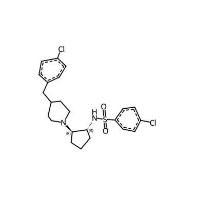 O=S(=O)(N[C@@H]1CCC[C@H]1N1CCC(Cc2ccc(Cl)cc2)CC1)c1ccc(Cl)cc1